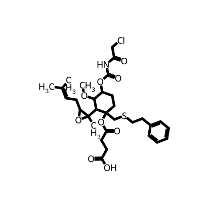 COC1C(OC(=O)NC(=O)CCl)CCC(CSCCc2ccccc2)(OC(=O)CCC(=O)O)C1C1(C)OC1CC=C(C)C